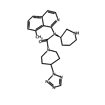 Cc1cccc2ccnc(N(C(=O)N3CCC(n4ncnn4)CC3)[C@@H]3CCCNC3)c12